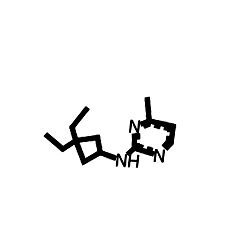 CCC1(CC)CC(Nc2nccc(C)n2)C1